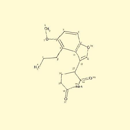 CCCc1c(OC)ccc2occ(C3CCC(=O)NC3=O)c12